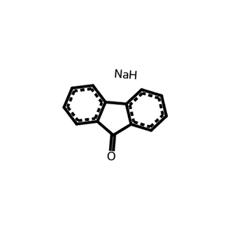 O=C1c2ccccc2-c2ccccc21.[NaH]